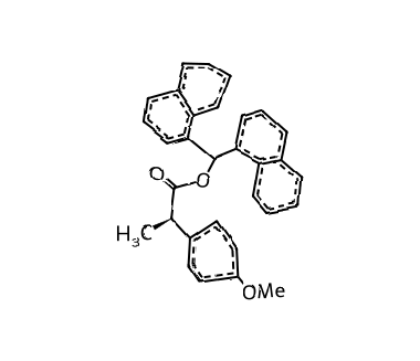 COc1ccc([C@@H](C)C(=O)OC(c2cccc3ccccc23)c2cccc3ccccc23)cc1